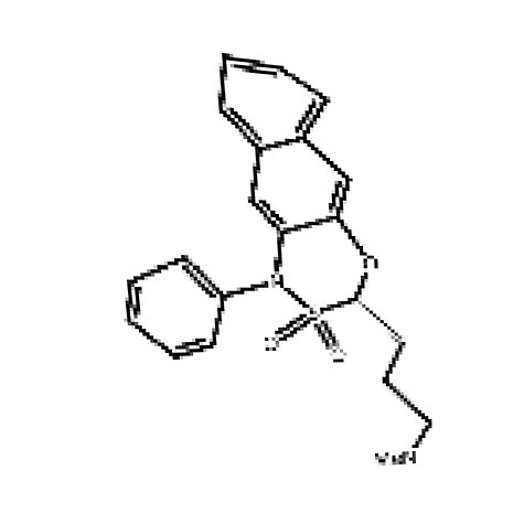 CNCCC[C@H]1Oc2cc3ccccc3cc2N(c2ccccc2)S1(=O)=O